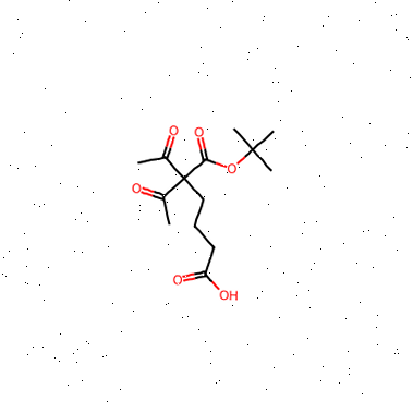 CC(=O)C(CCCC(=O)O)(C(C)=O)C(=O)OC(C)(C)C